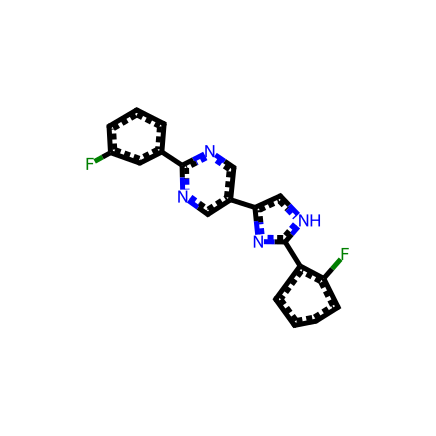 Fc1cccc(-c2ncc(-c3c[nH]c(-c4ccccc4F)n3)cn2)c1